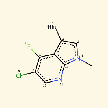 Cn1cc(C(C)(C)C)c2c(F)c(Cl)cnc21